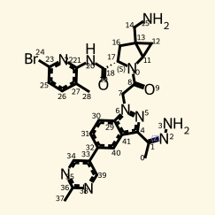 C/C(=N/N)c1nn(CC(=O)N2C3CC3(CN)C[C@H]2C(=O)Nc2nc(Br)ccc2C)c2ccc(-c3cnc(C)nc3)cc12